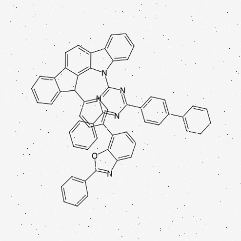 C1=CC(c2ccc(-c3nc(-c4ccccc4)nc(-n4c5ccccc5c5ccc6c(c54)C(c4ccc(-c5cccc7nc(-c8ccccc8)oc57)cc4)c4ccccc4-6)n3)cc2)=CCC1